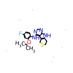 CC(C)Oc1cc(F)ccc1Nc1ncnc2[nH]c3c(c12)CSCC3